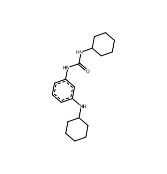 O=C(Nc1cccc(NC2CCCCC2)c1)NC1CCCCC1